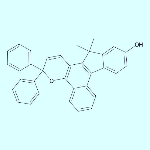 CC1(C)c2cc(O)ccc2-c2c1c1c(c3ccccc23)OC(c2ccccc2)(c2ccccc2)C=C1